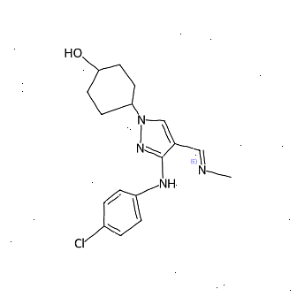 C/N=C/c1cn(C2CCC(O)CC2)nc1Nc1ccc(Cl)cc1